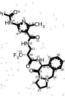 Cc1nc(NC(=O)C(C)C)sc1C(=O)NC[C@H](C(=O)N[C@@H]1C(=O)N2CCCN2Cc2ccccc21)C(F)(F)F